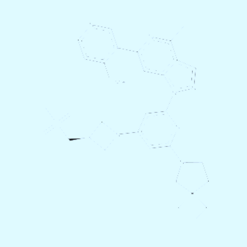 COc1ccncc1-c1cc2c(cnn2-c2cc(N3C[C@H](CS(C)(=O)=O)[C@H]3C)cc(N3CCC4(COC4)C3)n2)c(C)n1